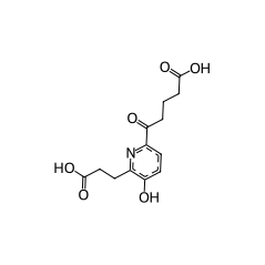 O=C(O)CCCC(=O)c1ccc(O)c(CCC(=O)O)n1